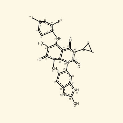 Cc1c(=O)n(C)c(Nc2ccc(I)cc2F)c2c(=O)n(C3CC3)c(=O)n(-c3ccc4nc(O)[nH]c4c3)c12